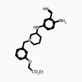 CCOC(=O)COc1cccc(CN2CCCC(Nc3ccc(N)c(C=N)c3)C2)c1